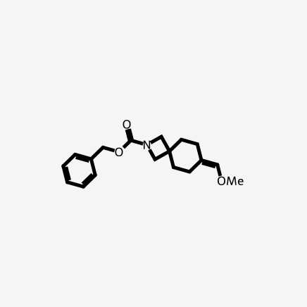 COC=C1CCC2(CC1)CN(C(=O)OCc1ccccc1)C2